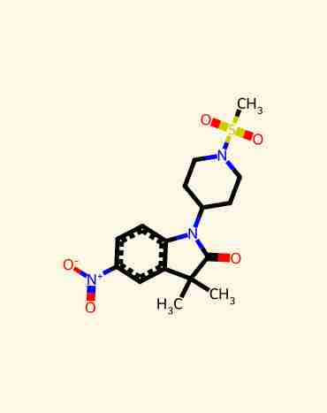 CC1(C)C(=O)N(C2CCN(S(C)(=O)=O)CC2)c2ccc([N+](=O)[O-])cc21